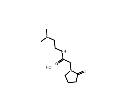 CN(C)CCNC(=O)CN1CCCC1=O.Cl